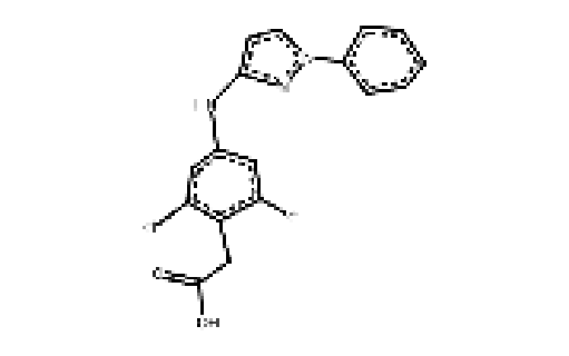 O=C(O)Cc1c(Cl)cc(Nc2ccn(-c3ccccc3)n2)cc1Cl